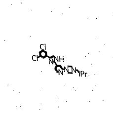 CC(C)CN1CCN(c2cc(-c3nc(-c4cc(Cl)cc(Cl)c4)c[nH]3)ccn2)CC1